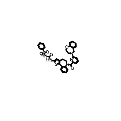 O=C(Nc1cc2c(s1)-c1ccccc1N(C(=O)c1cccc(N3CCOc4ccccc4C3)n1)CC2)NS(=O)(=O)c1ccccc1